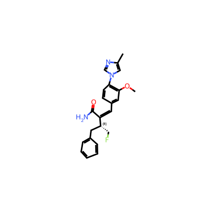 COc1cc(C=C(C(N)=O)[C@H](CF)Cc2ccccc2)ccc1-n1cnc(C)c1